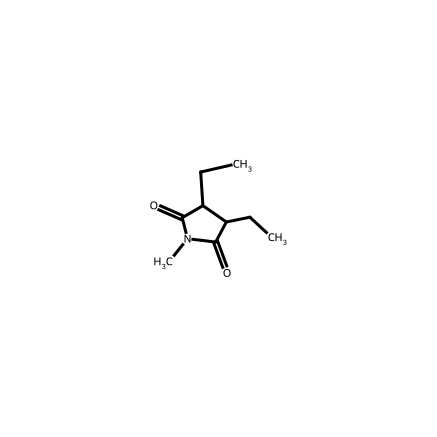 CCC1C(=O)N(C)C(=O)C1CC